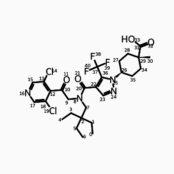 CCC(CC)(CC)CN(CC(=O)c1c(Cl)cncc1Cl)C(=O)c1cnn([C@H]2CC[C@](C)(C(=O)O)CC2)c1C(F)(F)F